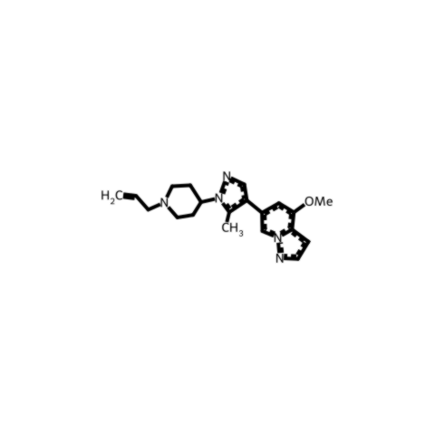 C=CCN1CCC(n2ncc(-c3cc(OC)c4ccnn4c3)c2C)CC1